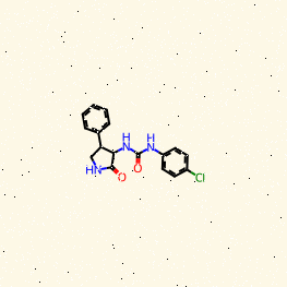 O=C(Nc1ccc(Cl)cc1)NC1C(=O)NCC1c1ccccc1